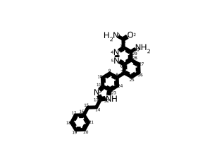 NC(=O)c1nnc2c(-c3ccc4nc(CCc5ccccc5)[nH]c4c3)cccc2c1N